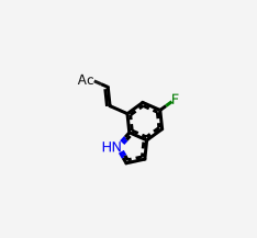 CC(=O)C=Cc1cc(F)cc2cc[nH]c12